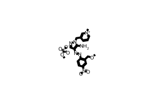 COCc1cc([N+](=O)[O-])ccc1N=Nc1cnn(Cc2ccc[n+](C)c2)c1N.COS(=O)(=O)[O-]